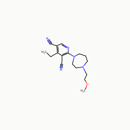 CCc1c(C#N)cnc(N2CCCN(CCOC)CC2)c1C#N